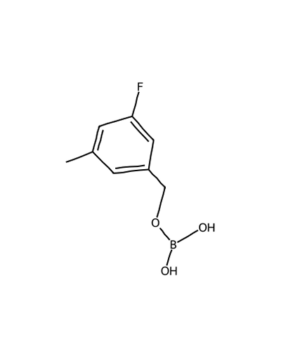 Cc1cc(F)cc(COB(O)O)c1